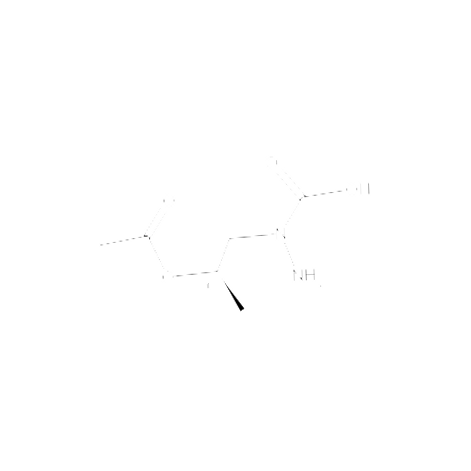 CC(=O)O[C@H](C)CN(N)C(=O)O